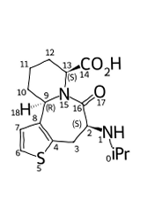 CC(C)N[C@H]1Cc2sccc2[C@H]2CCC[C@@H](C(=O)O)N2C1=O